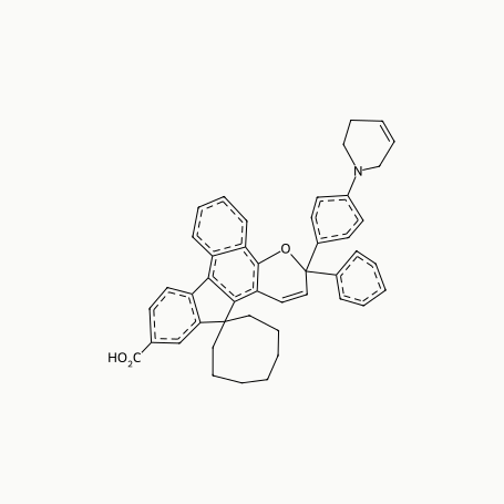 O=C(O)c1ccc2c(c1)C1(CCCCCCC1)c1c3c(c4ccccc4c1-2)OC(c1ccccc1)(c1ccc(N2CC=CCC2)cc1)C=C3